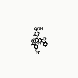 CC(C)c1cc(CN(C)C)ccc1N1c2nc(-c3ccccc3F)c(Cl)cc2C(N2CCN(C(=O)O)C[C@@H]2C)=NS1(=O)=O